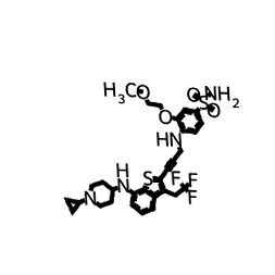 COCCOc1cc(S(N)(=O)=O)ccc1NCC#Cc1sc2c(NC3CCN(C4CC4)CC3)cccc2c1CC(F)(F)F